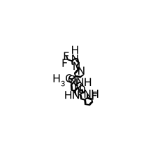 COc1cc(N2CCNC(C(F)F)C2)ncc1Nc1nccc(Nc2cc3cccc(F)c3[nH]c2=O)n1